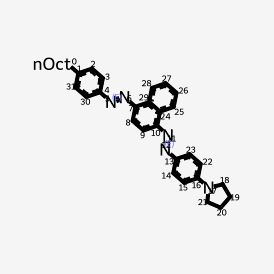 CCCCCCCCc1ccc(/N=N/c2ccc(/N=N/c3ccc(N4CCCC4)cc3)c3ccccc23)cc1